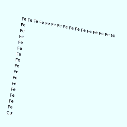 [Cu].[Fe].[Fe].[Fe].[Fe].[Fe].[Fe].[Fe].[Fe].[Fe].[Fe].[Fe].[Fe].[Fe].[Fe].[Fe].[Fe].[Fe].[Fe].[Fe].[Fe].[Fe].[Fe].[Fe].[Fe].[Fe].[Fe].[Fe].[Fe].[Fe].[Fe].[Ni]